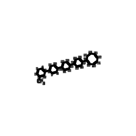 FC(F)(F)c1cccc(-c2ccc(-c3ccc(-c4ccc(/C5=C/C=C\C=C/CC5)cc4)cc3)cc2)c1